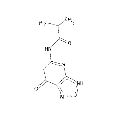 CC(C)C(=O)NC1=Nc2[nH]cnc2C(=O)C1